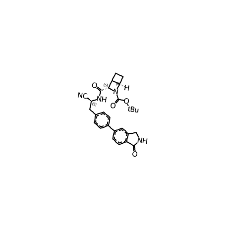 CC(C)(C)OC(=O)N1[C@@H]2CCC2[C@H]1C(=O)N[C@H](C#N)Cc1ccc(-c2ccc3c(c2)CNC3=O)cc1